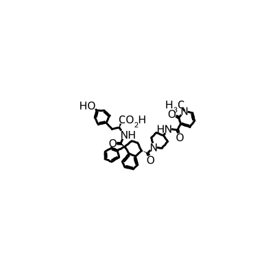 Cn1cccc(C(=O)NC2CCN(C(=O)[C@H]3CC[C@@](C(=O)N[C@@H](Cc4ccc(O)cc4)C(=O)O)(c4ccccc4)c4ccccc43)CC2)c1=O